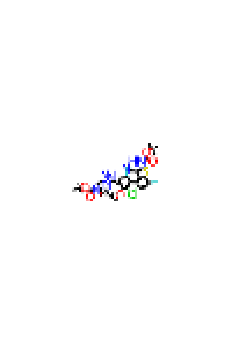 CC(C)(C)OC(=O)Nc1sc2c(F)ccc(-c3c(F)cc4c(c3Cl)OCC[C@@H]3CN(C(=O)OC(C)(C)C)Cc5nnc-4n53)c2c1C#N